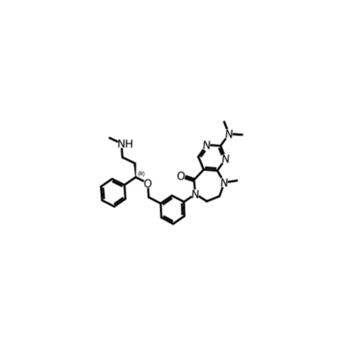 CNCC[C@@H](OCc1cccc(N2CCN(C)c3nc(N(C)C)ncc3C2=O)c1)c1ccccc1